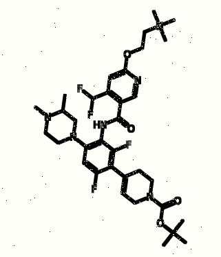 CC1CN(c2cc(F)c(C3=CCN(C(=O)OC(C)(C)C)CC3)c(F)c2NC(=O)c2cnc(OCC[Si](C)(C)C)cc2C(F)F)CCN1C